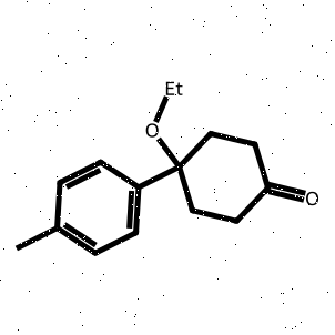 CCOC1(c2ccc(C)cc2)CCC(=O)CC1